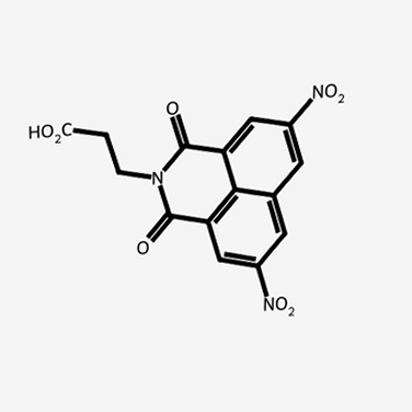 O=C(O)CCN1C(=O)c2cc([N+](=O)[O-])cc3cc([N+](=O)[O-])cc(c23)C1=O